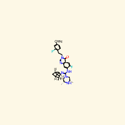 COc1ccc(CCn2cnc3cc(NC(=N[C@H]4C[C@H]5C[C@@H]([C@@H]4C)C5(C)C)N4C[C@@H](C)N[C@@H](C)C4)c(F)cc3c2=O)c(F)c1